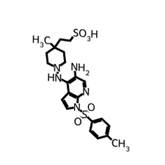 Cc1ccc(S(=O)(=O)n2ccc3c(NN4CCC(C)(CCS(=O)(=O)O)CC4)c(N)cnc32)cc1